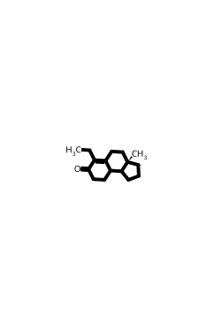 CCC1=C2CC[C@@]3(C)[CH]CCC3C2CCC1=O